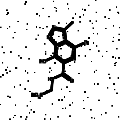 CCc1nc(C(=O)NCC(=O)O)c(O)c2snc(C)c12